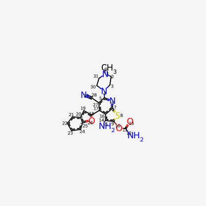 CN1CCN(c2nc3sc(OC(N)=O)c(N)c3c(-c3cc4ccccc4o3)c2C#N)CC1